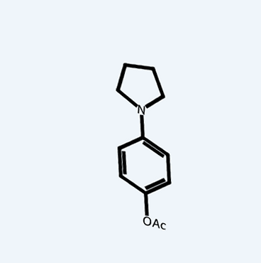 CC(=O)Oc1ccc(N2CCCC2)cc1